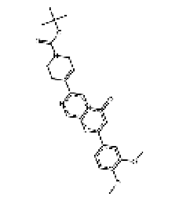 COc1ccc(-c2cc(=O)n3cc(C4=CCN(C(=O)OC(C)(C)C)CC4)ncc3n2)cc1OC